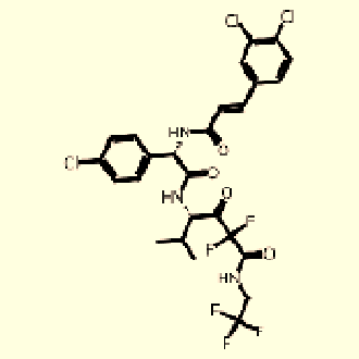 CC(C)[C@H](NC(=O)[C@@H](NC(=O)C=Cc1ccc(Cl)c(Cl)c1)c1ccc(Cl)cc1)C(=O)C(F)(F)C(=O)NCC(F)(F)F